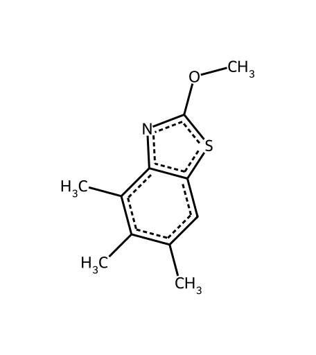 COc1nc2c(C)c(C)c(C)cc2s1